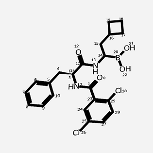 O=C(N[C@@H](Cc1ccccc1)C(=O)NC(CC1CCC1)B(O)O)c1cc(Cl)ccc1Cl